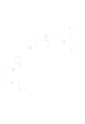 CC(C)C(CS(=O)(=O)C(C)C)N1C(=O)[C@@](C)(CC(=O)Nc2ccc(C(=O)NCCCn3cnc(CNc4cccc5c4CN(C4CCC(=O)NC4=O)C5=O)c3)cc2)CC[C@H]1c1ccc(Cl)cc1